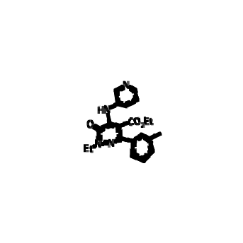 CCOC(=O)c1c(-c2cccc(C)c2)nn(CC)c(=O)c1Nc1cccnc1